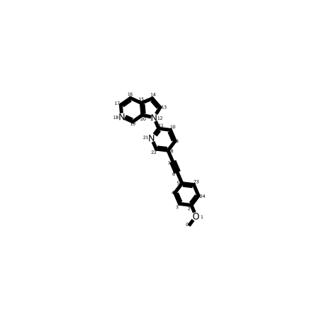 COc1ccc(C#Cc2ccc(-n3ccc4ccncc43)nc2)cc1